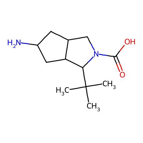 CC(C)(C)C1C2CC(N)CC2CN1C(=O)O